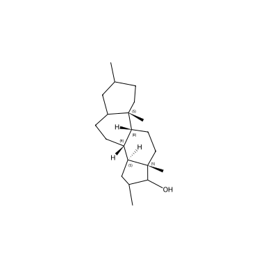 CC1CC[C@@]2(C)C(CC[C@@H]3[C@H]2CC[C@]2(C)C(O)C(C)C[C@@H]32)C1